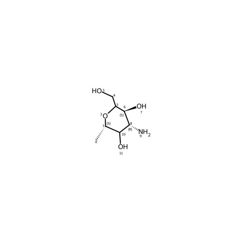 C[C@@H]1OC(CO)[C@@H](O)[C@H](N)C1O